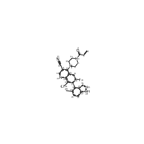 C=CC(=O)N1CCN(c2c(C#N)cnc3c(Cl)c(-c4c(C)ccc5[nH]ncc45)c(F)cc23)CC1